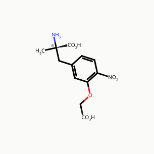 C[C@](N)(Cc1ccc([N+](=O)[O-])c(OCC(=O)O)c1)C(=O)O